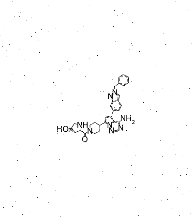 Nc1ncnn2c(C3CCN(C(=O)C4C[C@@H](O)CN4)CC3)cc(-c3ccc4cn(Cc5ccccc5)nc4c3)c12